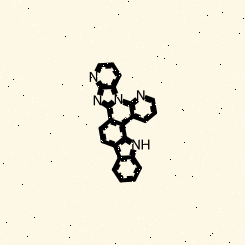 c1ccc2c(c1)[nH]c1c2ccc2c1c1cccnc1n1c3cccnc3nc21